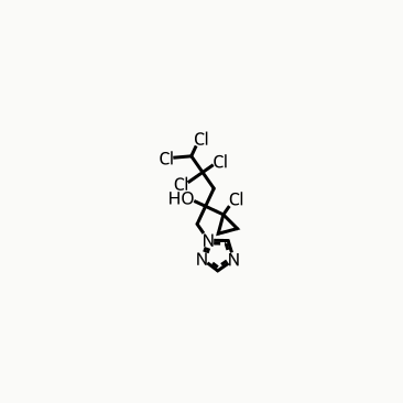 OC(Cn1cncn1)(CC(Cl)(Cl)C(Cl)Cl)C1(Cl)CC1